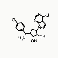 N[C@H](c1ccc(Cl)cc1)[C@H]1C[C@@H](n2ccc3c(Cl)ncnc32)[C@H](O)[C@@H]1O